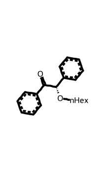 CCCCCCO[C@H](C(=O)c1ccccc1)c1ccccc1